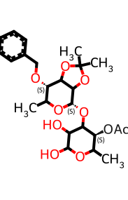 CC(=O)O[C@H]1C(C)OC(O)C(O)C1O[C@@H]1OC(C)[C@H](OCc2ccccc2)C2OC(C)(C)OC21